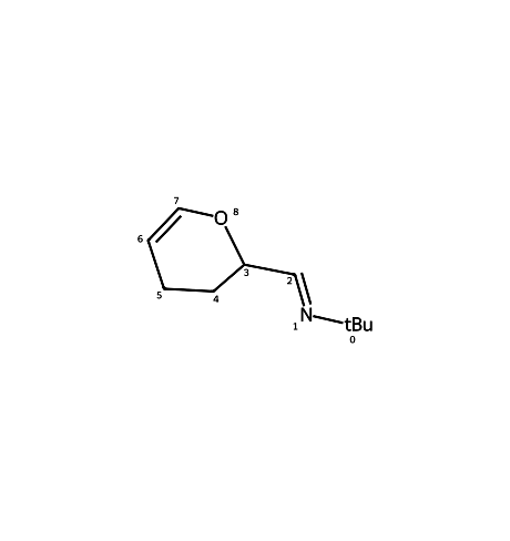 CC(C)(C)N=CC1CCC=CO1